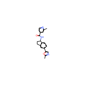 Cc1cc(C(=O)NC2CCc3cc(-c4cnc(C)o4)ccc32)ccn1